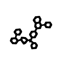 c1ccc(-c2ccccc2-c2ccc(N(c3ccccc3)c3ccc(-c4cc(-c5ccccc5)c5ccccc5c4)cc3)cc2)cc1